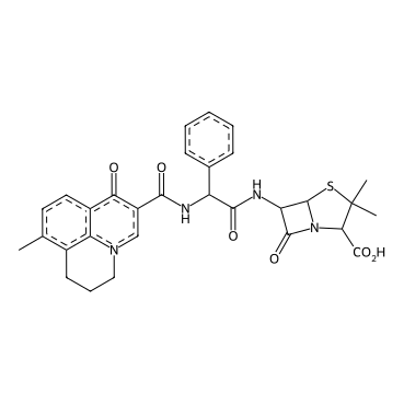 Cc1ccc2c(=O)c(C(=O)NC(C(=O)NC3C(=O)N4C3SC(C)(C)C4C(=O)O)c3ccccc3)cn3c2c1CCC3